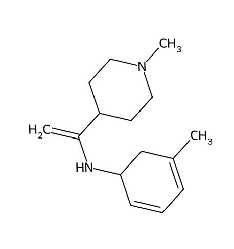 C=C(NC1C=CC=C(C)C1)C1CCN(C)CC1